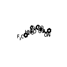 CN(C)c1ccccc1C(=O)C1CN(S(=O)(=O)N2CCC[C@H](C(=O)N3CCC[C@@H]3C(=O)NCc3ccc(C(F)(F)F)cc3)C2)C1